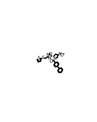 CON=C1C[C@@H](c2nc(CSc3cccs3)no2)N(C(=O)c2ccc(-c3ccccc3)cc2)C1